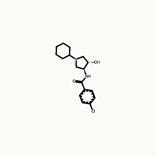 O=C(N[C@H]1CN(C2CCCCC2)C[C@@H]1O)c1ccc(Cl)cc1